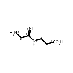 N=C(CN)NCCC(=O)O